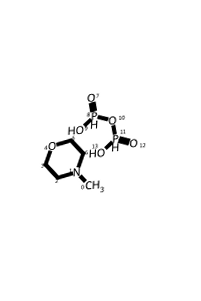 CN1CCOCC1.O=[PH](O)O[PH](=O)O